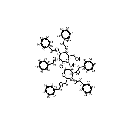 OC[C@H]1O[C@H](O[C@H]2O[C@H](COCc3ccccc3)[C@@H](OCc3ccccc3)[C@H](OCc3ccccc3)[C@H]2O)[C@H](OCc2ccccc2)[C@@H](OCc2ccccc2)[C@@H]1OCc1ccccc1